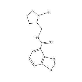 CCN1CCCC1CNC(=O)c1cccc2c1OCO2